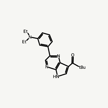 CCN(CC)c1cccc(-c2cnc3[nH]cc(C(=O)C(C)(C)C)c3n2)c1